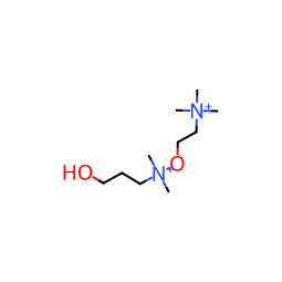 C[N+](C)(C)CCO[N+](C)(C)CCCO